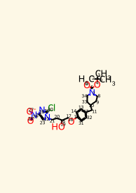 CC(C)(C)OC(=O)N1CCC(Cc2ccc(OCC(O)CCn3cc([N+](=O)[O-])nc3Cl)cc2)CC1